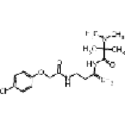 C=C(CCNC(=O)COc1ccc(Cl)cc1)NC(=O)C(C)(C)N(C)C